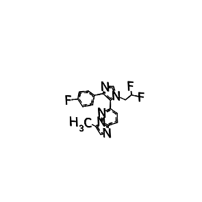 Cc1cnc2ccc(-c3c(-c4ccc(F)cc4)ncn3CC(F)F)nn12